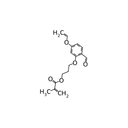 C=COc1ccc(C=O)c(OCCCOC(=O)C(=C)C)c1